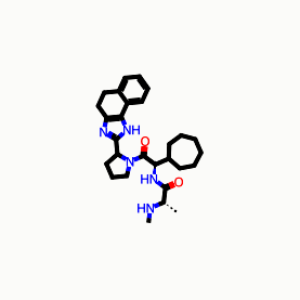 CN[C@@H](C)C(=O)N[C@@H](C(=O)N1CCCC1c1nc2c([nH]1)-c1ccccc1CC2)C1CCCCCC1